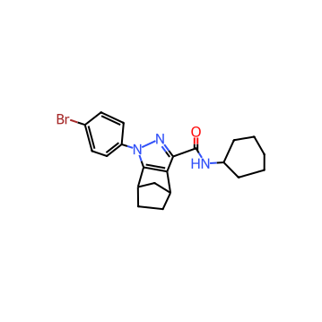 O=C(NC1CCCCC1)c1nn(-c2ccc(Br)cc2)c2c1C1CCC2C1